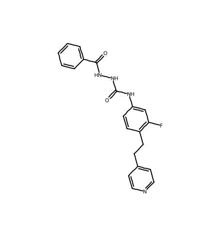 O=C(NNC(=O)c1ccccc1)Nc1ccc(CCc2ccncc2)c(F)c1